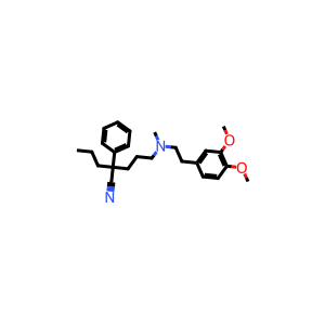 CCCC(C#N)(CCCN(C)CCc1ccc(OC)c(OC)c1)c1ccccc1